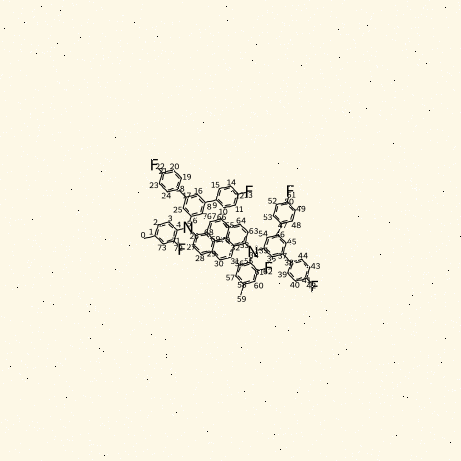 Cc1ccc(N(c2cc(-c3ccc(F)cc3)cc(-c3ccc(F)cc3)c2)c2ccc3ccc4c(N(c5cc(-c6ccc(F)cc6)cc(-c6ccc(F)cc6)c5)c5ccc(C)cc5F)ccc5ccc2c3c54)c(F)c1